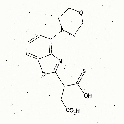 O=C(O)CC(C(O)=S)c1nc2c(N3CCOCC3)cccc2o1